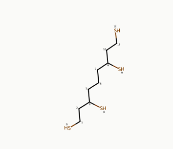 SCCC(S)CCCC(S)CCS